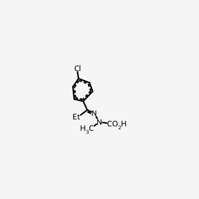 CCC(=NN(C)C(=O)O)c1ccc(Cl)cc1